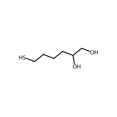 OCC(O)CCCCS